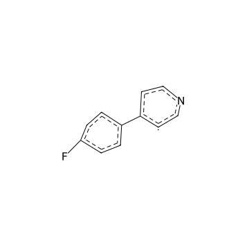 Fc1ccc(-c2[c]cncc2)cc1